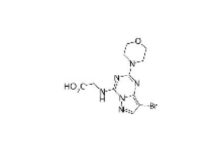 O=C(O)CNc1nc(N2CCOCC2)nc2c(Br)cnn12